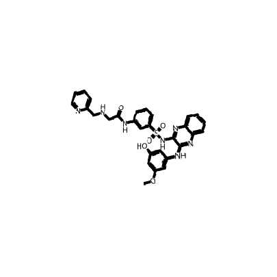 COc1cc(O)cc(Nc2nc3ccccc3nc2NS(=O)(=O)c2cccc(NC(=O)CNCc3ccccn3)c2)c1